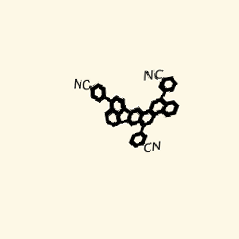 N#Cc1ccc(-c2ccc3c4c(cccc24)-c2cc4c(-c5cccc(C#N)c5)cc5c6ccccc6c(-c6cccc(C#N)c6)cc5c4cc2-3)cc1